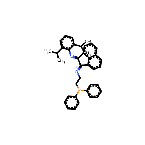 CC(C)c1cccc(C(C)C)c1/N=C1/C(=N/CCP(c2ccccc2)c2ccccc2)c2cccc3cccc1c23